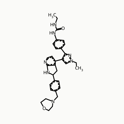 CCNC(=O)Nc1ccc(-c2nn(CC)cc2-c2ccnc3c2CC(c2ccc(CN4CCOCC4)cc2)N3)cc1